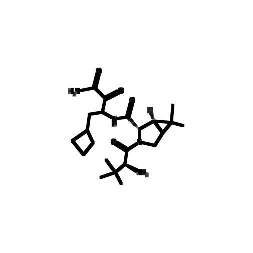 CC(C)(C)[C@H](N)C(=O)N1CC2[C@@H]([C@H]1C(=O)NC(CC1CCC1)C(=O)C(N)=O)C2(C)C